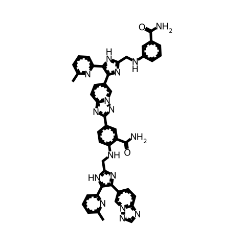 Cc1cccc(-c2[nH]c(CNc3cccc(C(N)=O)c3)nc2-c2ccc3nc(-c4ccc(NCc5nc(-c6ccc7ncnn7c6)c(-c6cccc(C)n6)[nH]5)c(C(N)=O)c4)nn3c2)n1